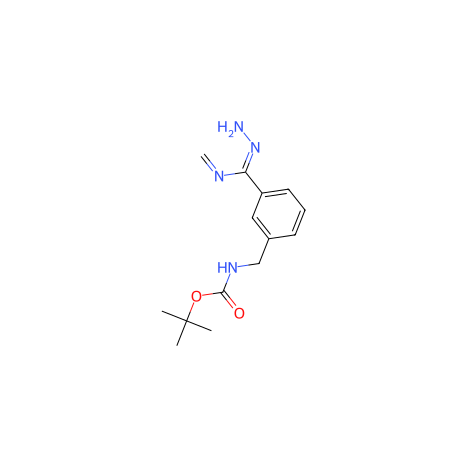 C=N/C(=N\N)c1cccc(CNC(=O)OC(C)(C)C)c1